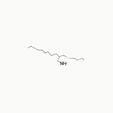 CCCCCCCCC(C[NH])CCCCCC